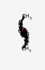 CCCCCCOc1ccc(-c2ccc(C(=O)Oc3ccc4ccccc4c3-c3c(OC(=O)c4ccc(-c5ccc(OCCCCCC)cc5)cc4)ccc4ccccc34)cc2)cc1